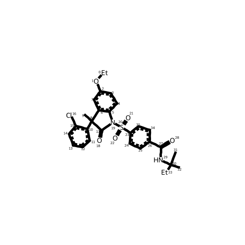 CCOc1ccc2c(c1)C(C)(c1ccccc1Cl)C(=O)N2S(=O)(=O)c1ccc(C(=O)NC(C)(C)CC)cc1